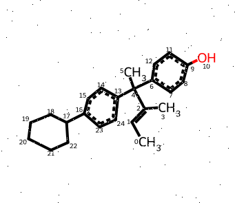 C/C=C(\C)C(C)(c1ccc(O)cc1)c1ccc(C2CCCCC2)cc1